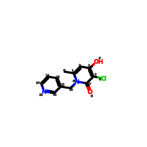 Cc1cc(O)c(Cl)c(=O)n1Cc1cccnc1